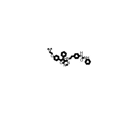 CN(C)CCOc1ccc(-c2oc3ncnc(NCCc4ccc(NC(=O)Nc5ccccc5)cc4)c3c2-c2ccccc2)cc1